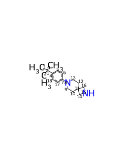 CC(C)(C)c1ccc(N2CCC3(CC2)CNC3)cc1